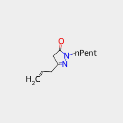 C=CCC1=NN(CCCCC)C(=O)C1